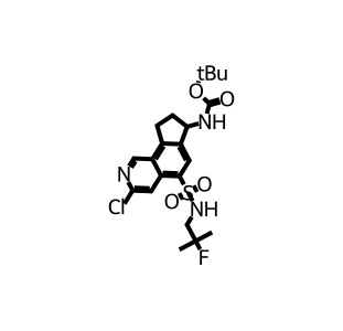 CC(C)(F)CNS(=O)(=O)c1cc2c(c3cnc(Cl)cc13)CCC2NC(=O)OC(C)(C)C